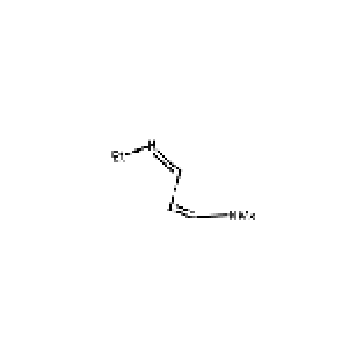 CC/N=C\C=C/NC